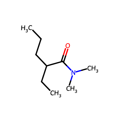 CCCC(CC)C(=O)N(C)C